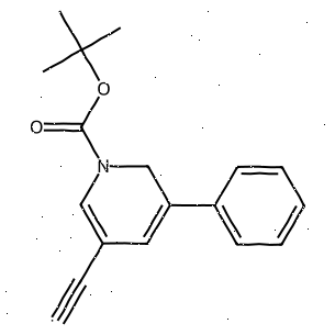 [C]#CC1=CN(C(=O)OC(C)(C)C)CC(c2ccccc2)=C1